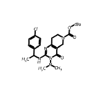 CC(Nc1nc2c(c(=O)n1N(C)C)CN(C(=O)OC(C)(C)C)CC2)c1ccc(Cl)cc1